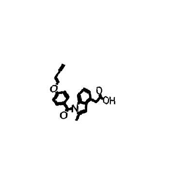 C#CCCOc1ccc(C(=O)n2c(C)cc3c(CC(=O)O)cccc32)cc1